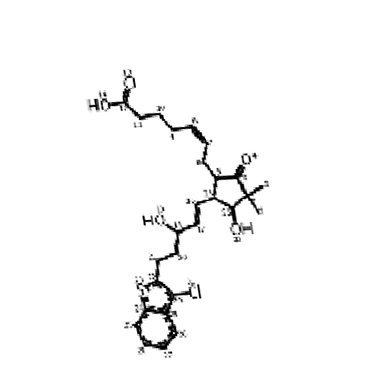 CC1(C)C(=O)C(C/C=C\CCCC(=O)O)C(/C=C/C(O)CCc2sc3ccccc3c2Cl)C1O